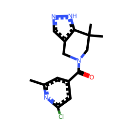 Cc1cc(C(=O)N2Cc3cn[nH]c3C(C)(C)C2)cc(Cl)n1